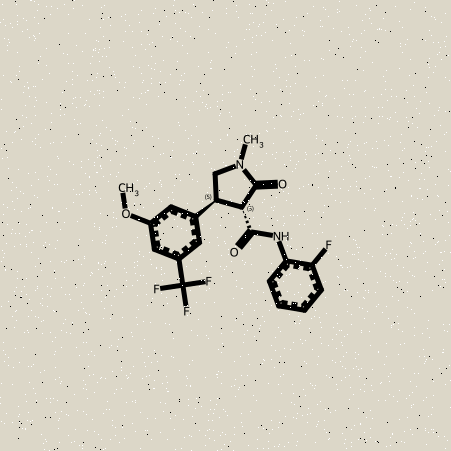 COc1cc([C@H]2CN(C)C(=O)[C@@H]2C(=O)Nc2ccccc2F)cc(C(F)(F)F)c1